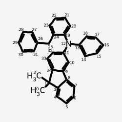 CC1(C)c2ccccc2-c2cc(N(c3ccccc3)c3ccccc3Cc3ccccc3)ccc21